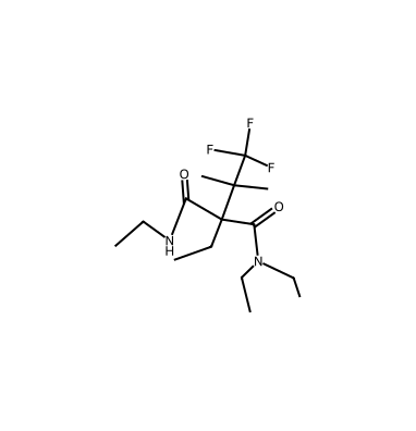 CCNC(=O)C(CC)(C(=O)N(CC)CC)C(C)(C)C(F)(F)F